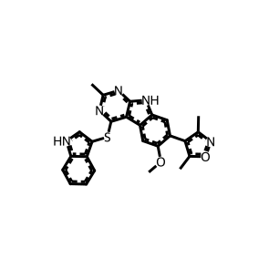 COc1cc2c(cc1-c1c(C)noc1C)[nH]c1nc(C)nc(Sc3c[nH]c4ccccc34)c12